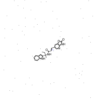 CCC(C)(NC(=O)/C=C/c1cnc2[nH]c(=O)oc2c1)c1cc2ccccc2[nH]1